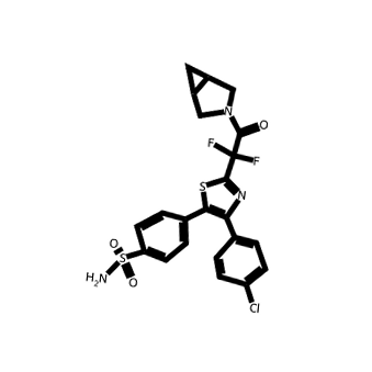 NS(=O)(=O)c1ccc(-c2sc(C(F)(F)C(=O)N3CC4CC4C3)nc2-c2ccc(Cl)cc2)cc1